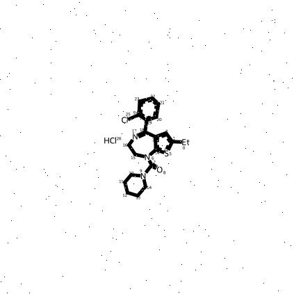 CCc1cc2c(s1)N(C(=O)N1CCCCC1)CCN=C2c1ccccc1Cl.Cl